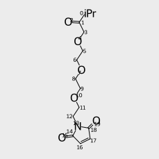 CC(C)C(=O)COCCOCCOCCN1C(=O)C=CC1=O